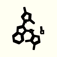 CC1=CC[C]([Zr][CH]2C(n3cc(C)cc3C)=Cc3ccccc32)=C1C.CCl